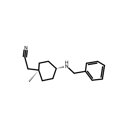 C[C@]1(CC#N)CC[C@H](NCc2ccccc2)CC1